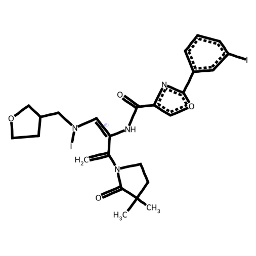 C=C(/C(=C\N(I)CC1CCOC1)NC(=O)c1coc(-c2cccc(I)c2)n1)N1CCC(C)(C)C1=O